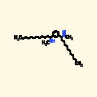 CCCCCCCCCCCC(NC)c1cccc(C(CCCCCCCCCCC)NC)c1